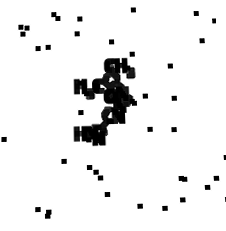 Cc1cc(C)cc(CN2CCN(c3ccc(-c4cn[nH]c4)cn3)C2=O)c1